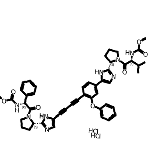 COC(=O)N[C@H](C(=O)N1CCC[C@H]1c1ncc(-c2ccc(C#CC#Cc3cnc([C@@H]4CCCN4C(=O)[C@H](NC(=O)OC)c4ccccc4)[nH]3)c(Oc3ccccc3)c2)[nH]1)C(C)C.Cl.Cl